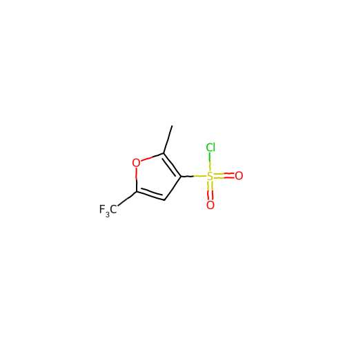 Cc1oc(C(F)(F)F)cc1S(=O)(=O)Cl